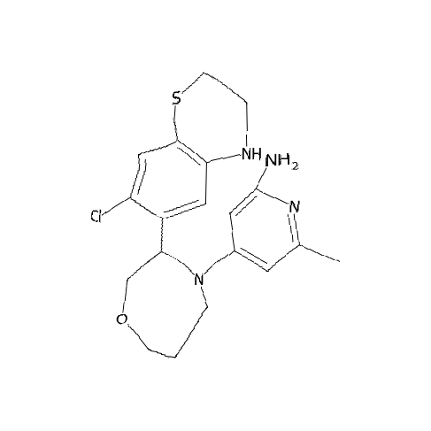 Cc1cc(N2CCCOCC2c2cc3c(cc2Cl)SCCN3)cc(N)n1